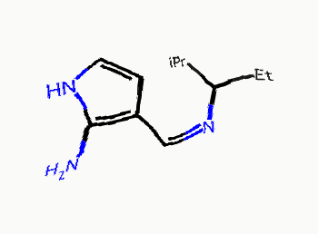 CCC(/N=C\c1cc[nH]c1N)C(C)C